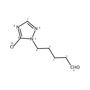 O=CCCCCn1ncnc1Cl